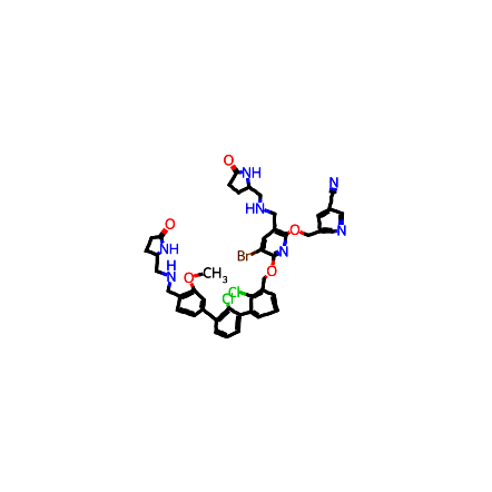 COc1cc(-c2cccc(-c3cccc(COc4nc(OCc5cncc(C#N)c5)c(CNCC5CCC(=O)N5)cc4Br)c3Cl)c2Cl)ccc1CNCC1CCC(=O)N1